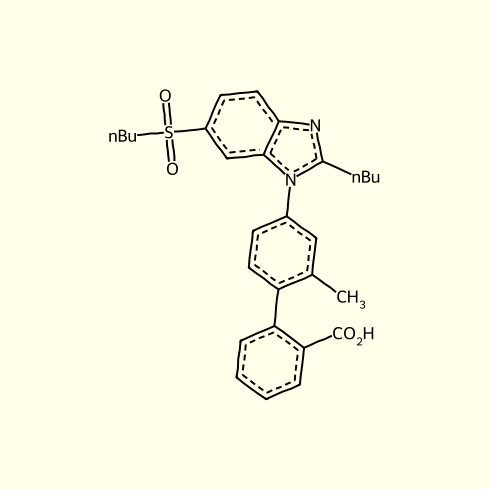 CCCCc1nc2ccc(S(=O)(=O)CCCC)cc2n1-c1ccc(-c2ccccc2C(=O)O)c(C)c1